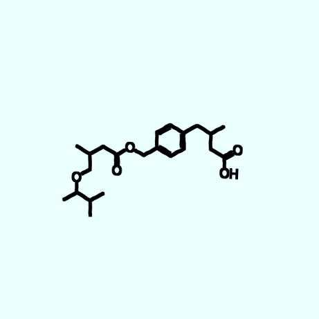 CC(COC(C)C(C)C)CC(=O)OCc1ccc(CC(C)CC(=O)O)cc1